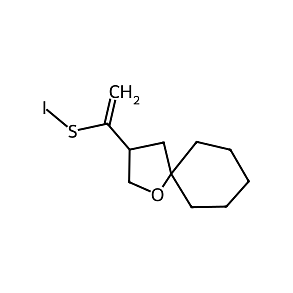 C=C(SI)C1COC2(CCCCC2)C1